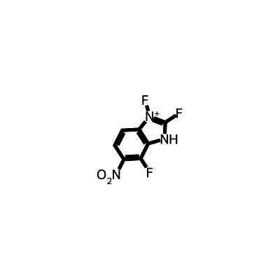 O=[N+]([O-])c1ccc2c([nH]c(F)[n+]2F)c1F